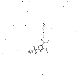 CCC(OCOCCOC)c1cc(S(N)(=O)=O)sc1SC